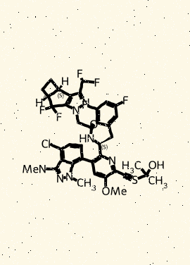 CNc1nn(C)c2c(-c3cc(OC)c(C#SC(C)(C)O)nc3[C@H](Cc3cc(F)cc(F)c3)NC(=O)Cn3nc(C(F)F)c4c3C(F)(F)[C@@H]3CC[C@H]43)ccc(Cl)c12